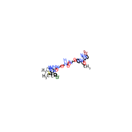 CCCC(NC(=O)/C(C#N)=C/c1cccc(Br)n1)c1ccc(OCC/C=N/OCC(=O)NCCOCCNC(=O)C[C@@H]2N=C(c3ccc(Cl)cc3)c3c(sc(C)c3C)-n3c(C)nnc32)cc1